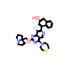 Oc1cc(-c2ncc3c(N4CCCSCC4)nc(OCC45C=CCN4CCC5)nc3c2F)c2ccccc2c1